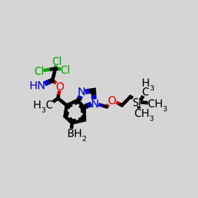 Bc1cc(C(C)OC(=N)C(Cl)(Cl)Cl)c2ncn(COCC[Si](C)(C)C)c2c1